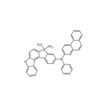 C[Si]1(C)c2cc(N(c3ccccc3)c3ccc4c(ccc5ccccc54)c3)ccc2-c2c1ccc1oc3ccccc3c21